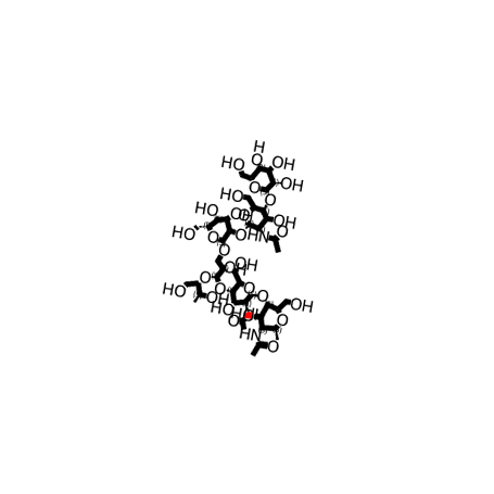 CC(=O)N[C@H]1C(O)[C@H](O[C@@H]2OC(CO)[C@H](O)C(O)[C@@H]2O)C(CO)O[C@H]1OC1C(O)[C@H](O)[C@@H](CO)O[C@@H]1OC[C@@H](O)[C@@H](OC(CO)[C@H](C)O)O[C@@H]1C(CO)O[C@@H](O[C@@H]2C(CO)O[C@@H](C)[C@@H](NC(C)=O)C2O)[C@@H](NC(C)=O)C1O